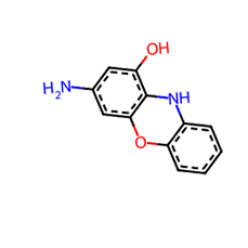 Nc1cc(O)c2c(c1)Oc1ccccc1N2